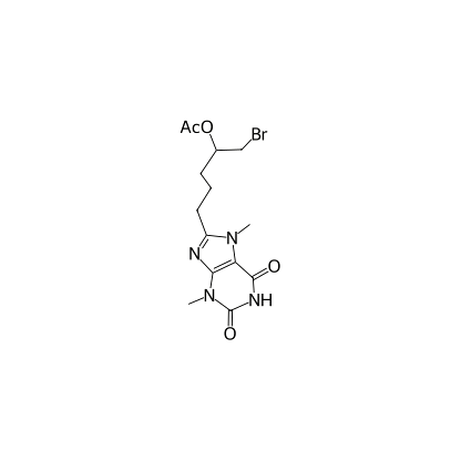 CC(=O)OC(CBr)CCCc1nc2c(c(=O)[nH]c(=O)n2C)n1C